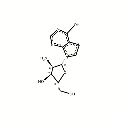 N[C@@H]1[C@H](O)[C@@H](CO)O[C@H]1n1cnc2c(O)ncnc21